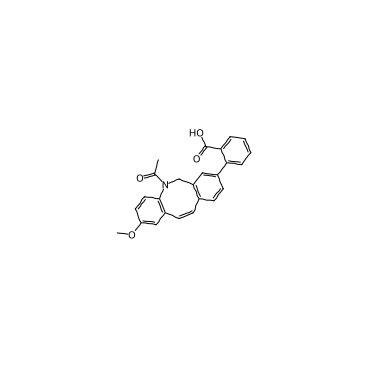 COc1ccc2c(c1)/C=C\c1ccc(-c3ccccc3C(=O)O)cc1CN2C(C)=O